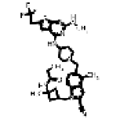 CCC(=O)NC1(C)CC(Cn2c(C#N)cc3c(C)c(CN4CCC(Nc5nc(NC)nc6sc(CC(F)(F)F)cc56)CC4)ccc32)C1